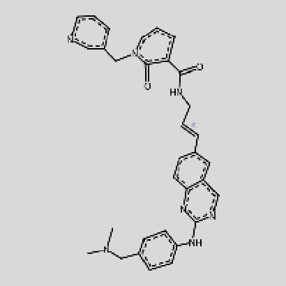 CN(C)Cc1ccc(Nc2ncc3cc(/C=C/CNC(=O)c4cccn(Cc5cccnc5)c4=O)ccc3n2)cc1